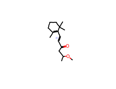 COC(C)CC(=O)/C=C/C1=C(C)CCCC1(C)C